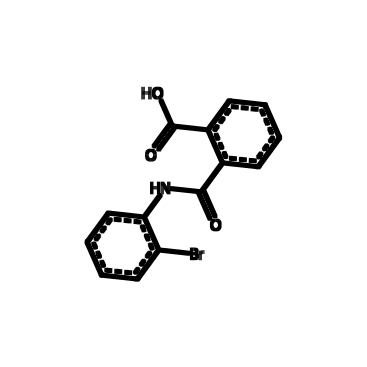 O=C(O)c1ccccc1C(=O)Nc1ccccc1Br